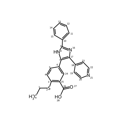 CCSc1ccc(-c2[nH]c(-c3ccccc3)nc2-c2ccncc2)cc1C(=O)O